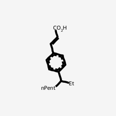 CCCCCC(CC)c1ccc(C=CC(=O)O)cc1